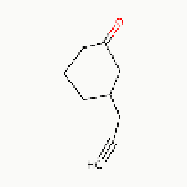 C#CCC1CCCC(=O)C1